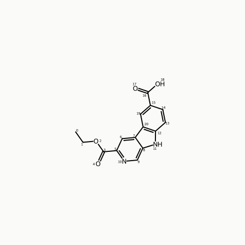 CCOC(=O)c1cc2c(cn1)[nH]c1ccc(C(=O)O)cc12